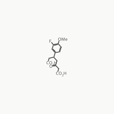 COc1ccc(C(CC(=O)O)CC(=O)CC(=O)O)cc1F